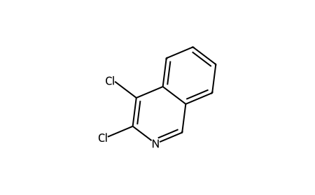 Clc1ncc2ccccc2c1Cl